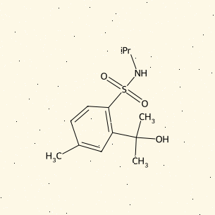 Cc1ccc(S(=O)(=O)NC(C)C)c(C(C)(C)O)c1